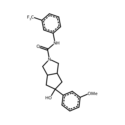 COc1cccc(C2(O)CC3CN(C(=O)Nc4cccc(C(F)(F)F)c4)CC3C2)c1